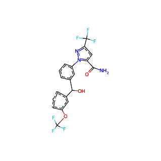 NC(=O)c1cc(C(F)(F)F)nn1-c1cccc(C(O)c2cccc(OC(F)(F)F)c2)c1